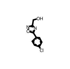 OCc1noc(-c2ccc(Cl)cc2)n1